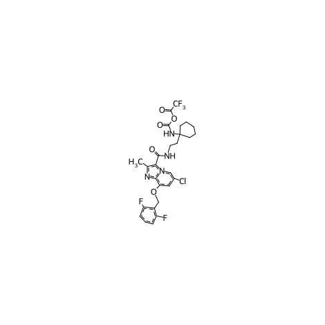 Cc1nc2c(OCc3c(F)cccc3F)cc(Cl)cn2c1C(=O)NCCC1(NC(=O)OC(=O)C(F)(F)F)CCCCC1